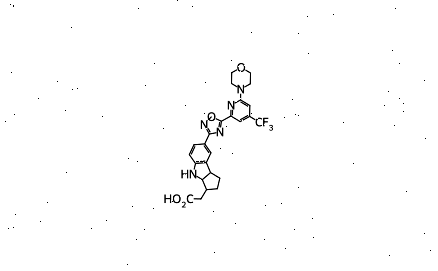 O=C(O)CC1CCC2c3cc(-c4noc(-c5cc(C(F)(F)F)cc(N6CCOCC6)n5)n4)ccc3NC12